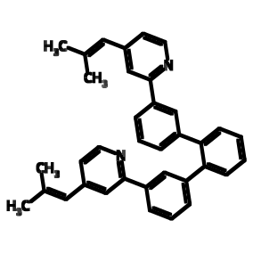 CC(C)=Cc1ccnc(-c2cccc(-c3ccccc3-c3cccc(-c4cc(C=C(C)C)ccn4)c3)c2)c1